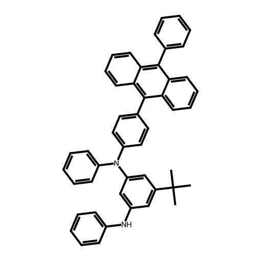 CC(C)(C)c1cc(Nc2ccccc2)cc(N(c2ccccc2)c2ccc(-c3c4ccccc4c(-c4ccccc4)c4ccccc34)cc2)c1